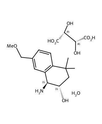 COCc1ccc2c(c1)[C@H](N)[C@@H](O)CC2(C)C.O.O=C(O)[C@H](O)[C@@H](O)C(=O)O